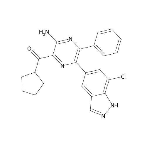 Nc1nc(-c2ccccc2)c(-c2cc(Cl)c3[nH]ncc3c2)nc1C(=O)C1CCCC1